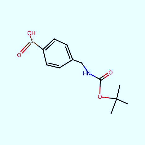 CC(C)(C)OC(=O)NCc1ccc(S(=O)O)cc1